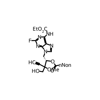 C#CC(CO)(OC)[C@H](Cn1cnc2c(NC(=O)OCC)nc(F)nc21)OC(=O)CCCCCCCCC